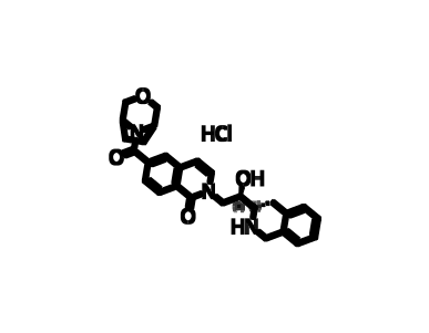 Cl.O=C(c1ccc2c(=O)n(C[C@@H](O)[C@@H]3Cc4ccccc4CN3)ccc2c1)N1C2CCC1COC2